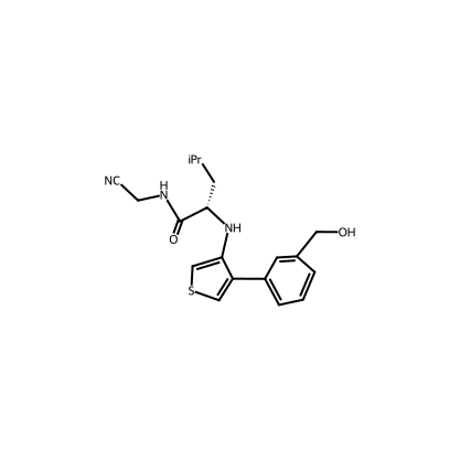 CC(C)C[C@H](Nc1cscc1-c1cccc(CO)c1)C(=O)NCC#N